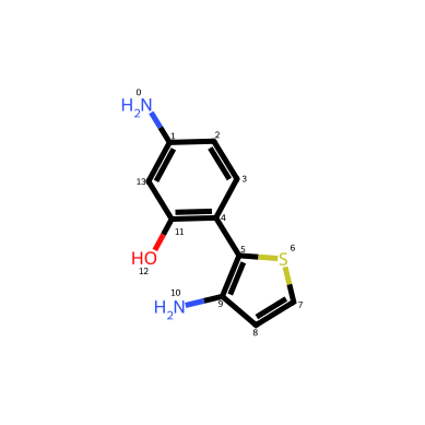 Nc1ccc(-c2sccc2N)c(O)c1